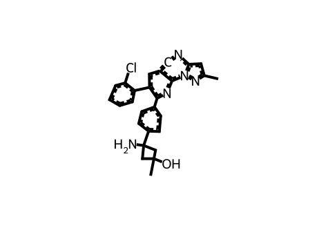 Cc1cc2ncc3cc(-c4ccccc4Cl)c(-c4ccc(C5(N)CC(C)(O)C5)cc4)nc3n2n1